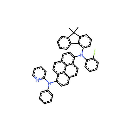 CC1(C)c2ccccc2-c2c(N(c3ccccc3F)c3ccc4ccc5c(N(c6ccccc6)c6ccccn6)ccc6ccc3c4c65)cccc21